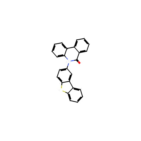 O=c1c2ccccc2c2ccccc2n1-c1ccc2sc3ccccc3c2c1